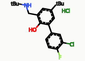 CC(C)(C)NCc1cc(C(C)(C)C)cc(-c2ccc(F)c(Cl)c2)c1O.Cl